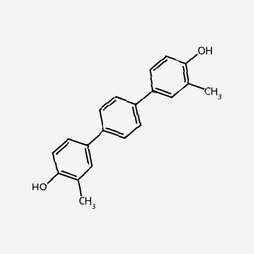 Cc1cc(-c2ccc(-c3ccc(O)c(C)c3)cc2)ccc1O